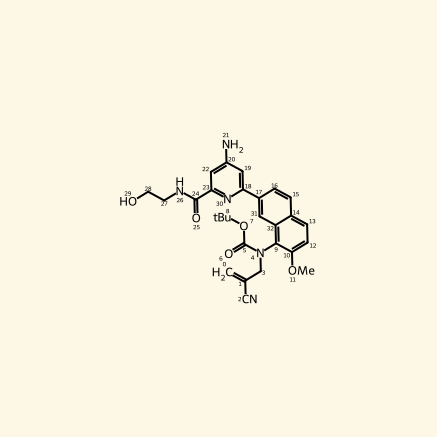 C=C(C#N)CN(C(=O)OC(C)(C)C)c1c(OC)ccc2ccc(-c3cc(N)cc(C(=O)NCCO)n3)cc12